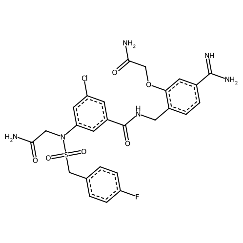 N=C(N)c1ccc(CNC(=O)c2cc(Cl)cc(N(CC(N)=O)S(=O)(=O)Cc3ccc(F)cc3)c2)c(OCC(N)=O)c1